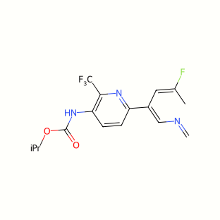 C=N/C=C(\C=C(/C)F)c1ccc(NC(=O)OC(C)C)c(C(F)(F)F)n1